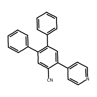 N#Cc1cc(-c2ccccc2)c(-c2ccccc2)cc1-c1ccncc1